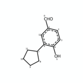 O=Cc1ccc(O)c(C2CCCC2)c1